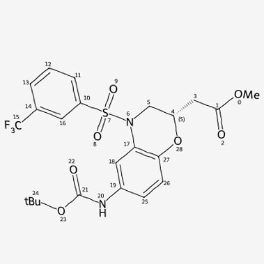 COC(=O)C[C@H]1CN(S(=O)(=O)c2cccc(C(F)(F)F)c2)c2cc(NC(=O)OC(C)(C)C)ccc2O1